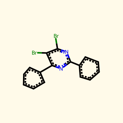 Brc1nc(-c2ccccc2)nc(-c2ccccc2)c1Br